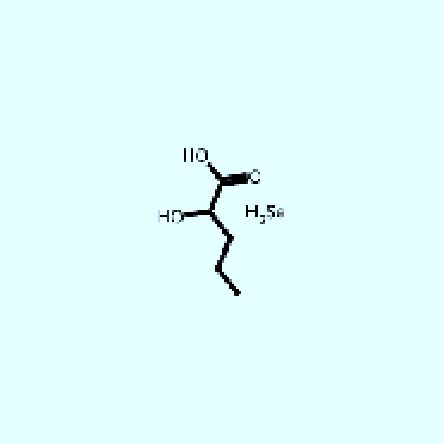 CCCC(O)C(=O)O.[SeH2]